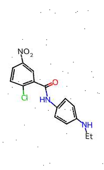 CCNc1ccc(NC(=O)c2cc([N+](=O)[O-])ccc2Cl)cc1